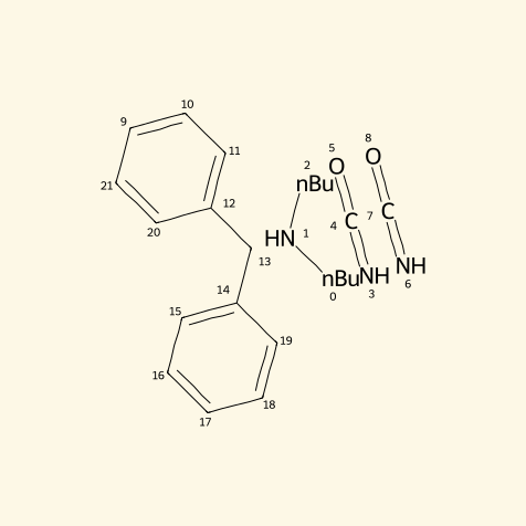 CCCCNCCCC.N=C=O.N=C=O.c1ccc(Cc2ccccc2)cc1